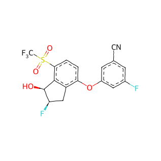 N#Cc1cc(F)cc(Oc2ccc(S(=O)(=O)C(F)(F)F)c3c2C[C@@H](F)[C@H]3O)c1